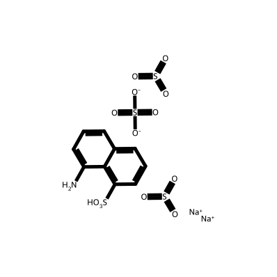 Nc1cccc2cccc(S(=O)(=O)O)c12.O=S(=O)([O-])[O-].O=S(=O)=O.O=S(=O)=O.[Na+].[Na+]